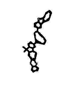 CC1(C)c2ccc(-c3cccc(-c4ccc5oc6ccccc6c5c4)c3)cc2-c2cc3c(cc21)Sc1ccccc1S3